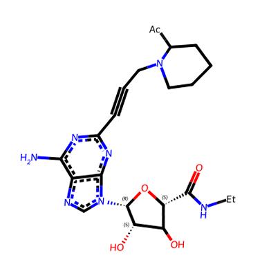 CCNC(=O)[C@H]1O[C@@H](n2cnc3c(N)nc(C#CCN4CCCCC4C(C)=O)nc32)[C@@H](O)C1O